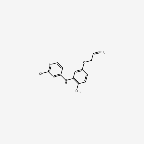 C=CCOc1ccc(C)c(Nc2ccnc(Cl)n2)c1